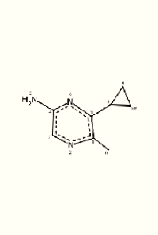 Cc1ncc(N)nc1C1CC1